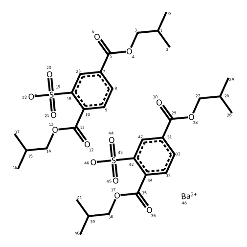 CC(C)COC(=O)c1ccc(C(=O)OCC(C)C)c(S(=O)(=O)[O-])c1.CC(C)COC(=O)c1ccc(C(=O)OCC(C)C)c(S(=O)(=O)[O-])c1.[Ba+2]